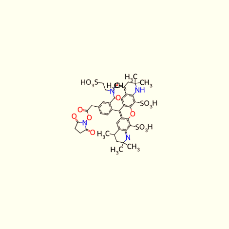 CC1CC(C)(C)Nc2c1cc1c(c2S(=O)(=O)O)Oc2c(S(=O)(=O)O)c3c(cc2=C1c1ccc(CC(=O)ON2C(=O)CCC2=O)cc1C(=O)N(C)CCS(=O)(=O)O)C(C)CC(C)(C)N=3